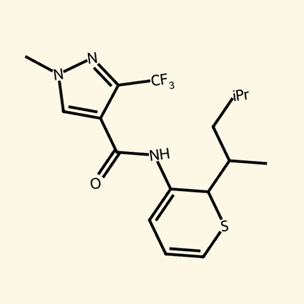 CC(C)CC(C)C1SC=CC=C1NC(=O)c1cn(C)nc1C(F)(F)F